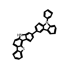 c1ccc(-n2c3ccccc3c3cc(-c4ccc5c(c4)[nH]c4ccc6c7ccccc7sc6c45)ccc32)cc1